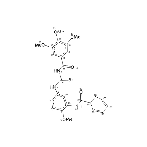 COc1ccc(NC(=S)NC(=O)c2cc(OC)c(OC)c(OC)c2)cc1NC(=O)C1C=CC=CC1